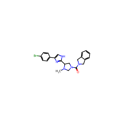 CN1CN(C(=O)N2Cc3ccccc3C2)CC1c1nc(-c2ccc(Br)cc2)c[nH]1